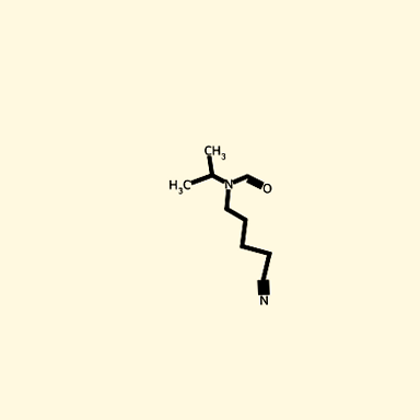 CC(C)N(C=O)CCCCC#N